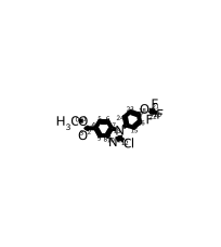 COC(=O)c1ccc2c(c1)nc(Cl)n2-c1ccc(OC(F)(F)F)cc1